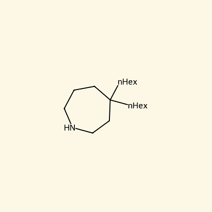 CCCCCCC1(CCCCCC)CCCNCC1